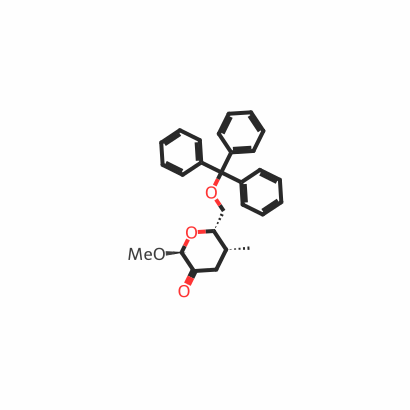 CO[C@H]1O[C@H](COC(c2ccccc2)(c2ccccc2)c2ccccc2)[C@H](C)CC1=O